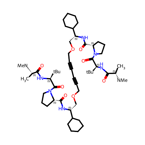 CN[C@@H](C)C(=O)N[C@H](C(=O)N1CCC[C@H]1C(=O)N[C@H](COCC#CC#CCOC[C@@H](NC(=O)[C@@H]1CCCN1C(=O)[C@@H](NC(=O)[C@H](C)NC)C(C)(C)C)C1CCCCC1)C1CCCCC1)C(C)(C)C